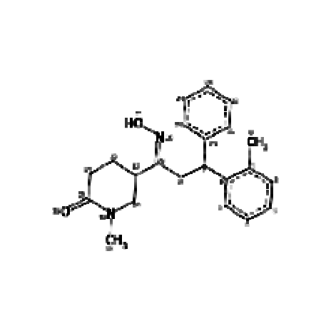 Cc1ccccc1C(CC(=NO)C1CCC(=O)N(C)C1)c1ccccc1